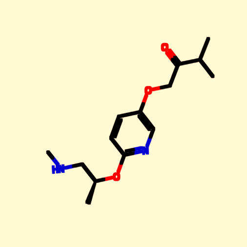 CNC[C@H](C)Oc1ccc(OCC(=O)C(C)C)cn1